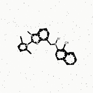 CC(=O)N(Cc1cccc2c1nc(-n1c(C)ccc1C)n2C)c1ccc2ccccc2c1C#N